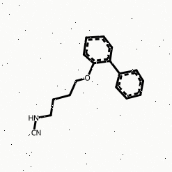 N#CNCCCCOc1ccccc1-c1ccccc1